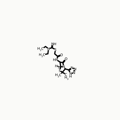 CCN(CC)C(=N)SCC(=O)NC1C(=O)N2C(c3nnn[nH]3)C(C)(C)S[C@H]12